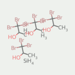 CC(O)C(Br)(Br)Br.CC(O)C(Br)(Br)Br.CC(O)C(Br)(Br)Br.CC(O)C(Br)(Br)Br.[SiH4]